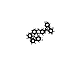 c1ccc(S2(c3ccccc3)c3ccccc3B3c4ccc(-n5c6ccccc6c6ccccc65)cc4Sc4cccc2c43)cc1